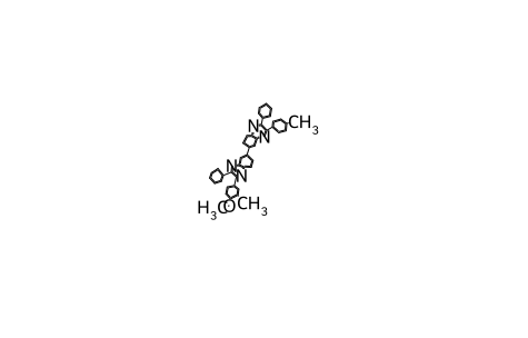 COc1ccc(-c2nc3ccc(-c4ccc5nc(-c6ccccc6)c(-c6ccc(C)cc6)nc5c4)cc3nc2-c2ccccc2)cc1C